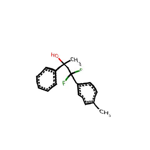 Cc1ccc(C(F)(F)C(C)(O)c2ccccc2)cc1